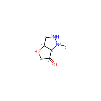 CN1NCC2OCC(=O)C21